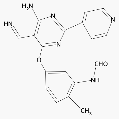 Cc1ccc(Oc2nc(-c3ccncc3)nc(N)c2C=N)cc1NC=O